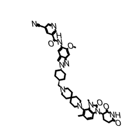 COc1cc2nn([C@H]3CC[C@H](CN4CCC5(CC4)CCN(c4c(C)ccc6c4n(C)c(=O)n6C4CCC(=O)NC4=O)CC5)CC3)cc2cc1NC(=O)c1cncc(C#N)c1